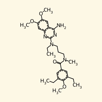 CCc1cc(C(=O)N(C)CCCN(CC)c2nc(N)c3cc(OC)c(OC)cc3n2)cc(CC)c1OC